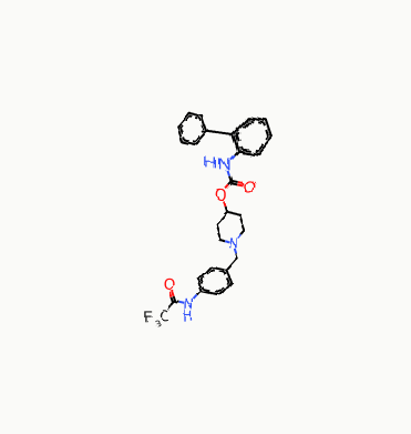 O=C(Nc1ccccc1-c1ccccc1)OC1CCN(Cc2ccc(NC(=O)C(F)(F)F)cc2)CC1